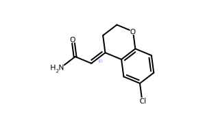 NC(=O)/C=C1\CCOc2ccc(Cl)cc21